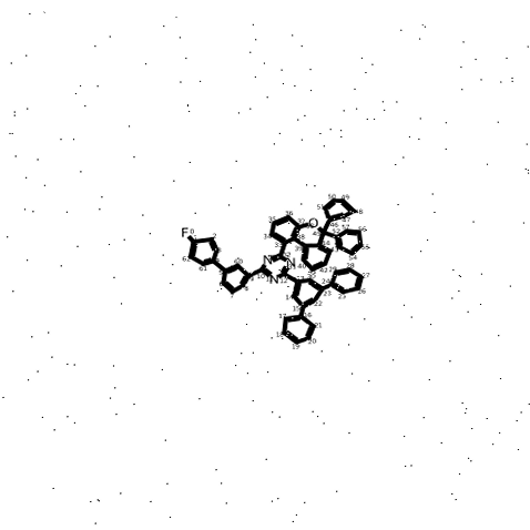 Fc1ccc(-c2cccc(-c3nc(-c4cc(-c5ccccc5)cc(-c5ccccc5)c4)nc(-c4cccc5c4-c4ccccc4C(c4ccccc4)(c4ccccc4)O5)n3)c2)cc1